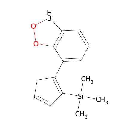 C[Si](C)(C)C1=C(c2cccc3c2OOB3)CC=C1